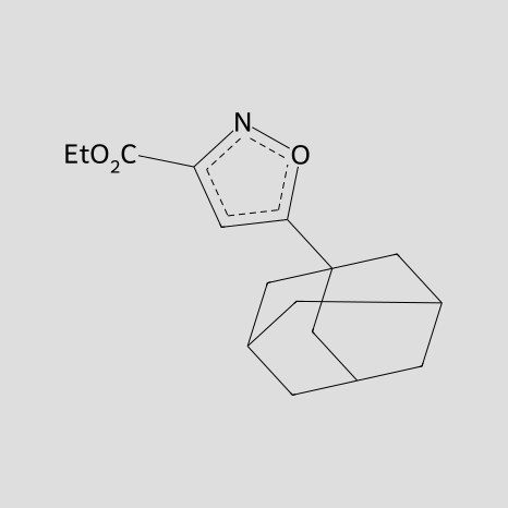 CCOC(=O)c1cc(C23CC4CC(CC(C4)C2)C3)on1